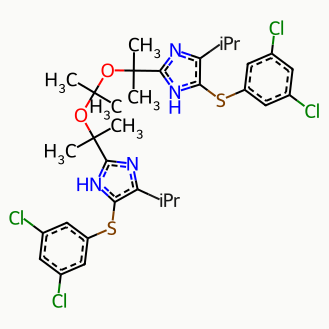 CC(C)c1nc(C(C)(C)OC(C)(C)OC(C)(C)c2nc(C(C)C)c(Sc3cc(Cl)cc(Cl)c3)[nH]2)[nH]c1Sc1cc(Cl)cc(Cl)c1